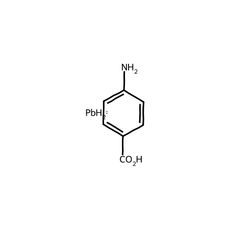 Nc1ccc(C(=O)O)cc1.[PbH2]